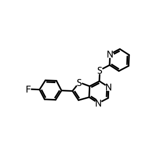 Fc1ccc(-c2cc3ncnc(Sc4ccccn4)c3s2)cc1